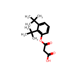 CC(C)(C)c1cccc(OC(=O)CC(=O)O)c1C(C)(C)C